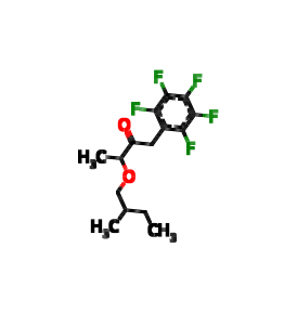 CCC(C)COC(C)C(=O)Cc1c(F)c(F)c(F)c(F)c1F